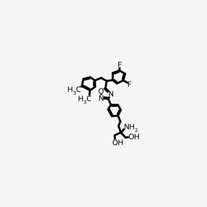 Cc1ccc(CC(c2cc(F)cc(F)c2)c2nc(-c3ccc(CCC(N)(CO)CO)cc3)no2)cc1C